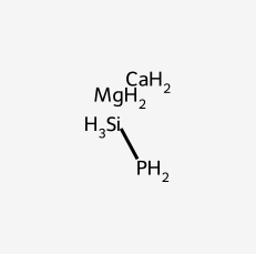 [CaH2].[MgH2].[SiH3]P